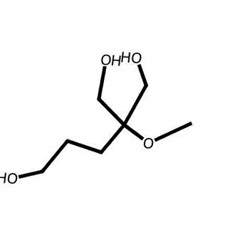 COC(CO)(CO)CCCO